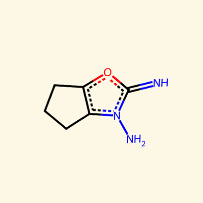 N=c1oc2c(n1N)CCC2